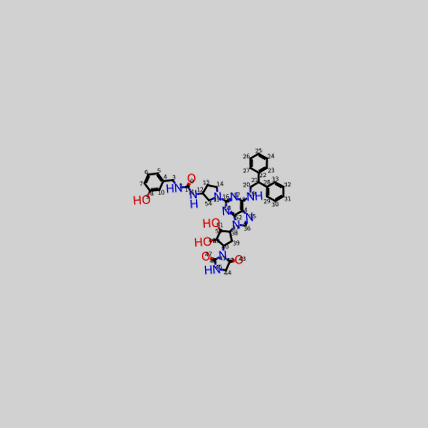 O=C(NCc1cccc(O)c1)NC1CCN(c2nc(NCC(c3ccccc3)c3ccccc3)c3ncn(C4CC(N5C(=O)CNC5=O)C(O)C4O)c3n2)C1